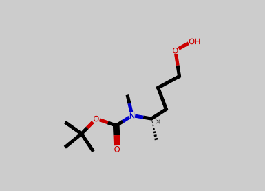 C[C@@H](CCCOO)N(C)C(=O)OC(C)(C)C